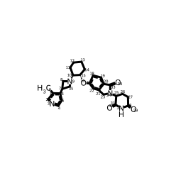 Cc1cnccc1C1CN([C@H]2CCCC[C@@H]2Oc2ccc3c(c2)CN(C2CCC(=O)NC2=O)C3=O)C1